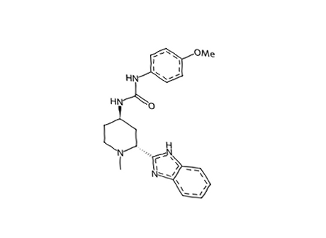 COc1ccc(NC(=O)N[C@@H]2CCN(C)[C@@H](c3nc4ccccc4[nH]3)C2)cc1